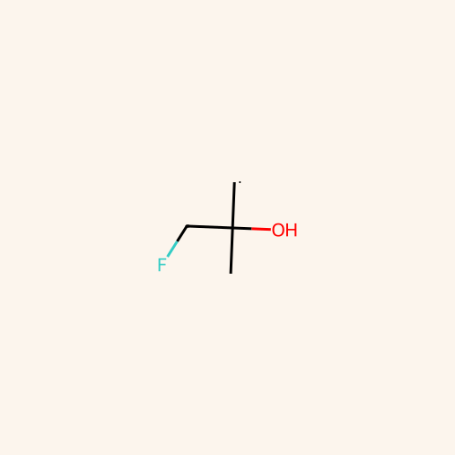 [CH2]C(C)(O)CF